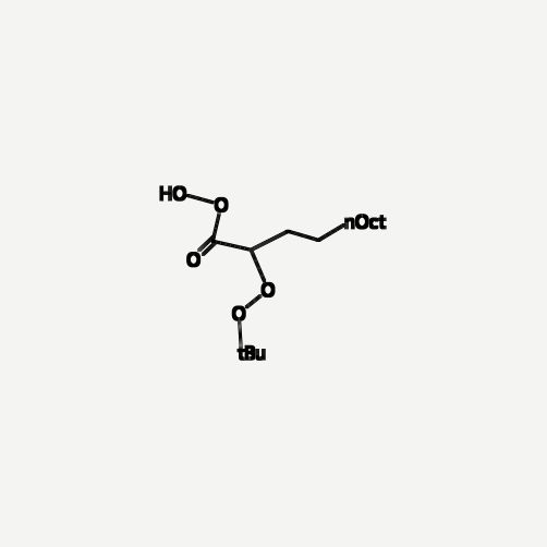 CCCCCCCCCCC(OOC(C)(C)C)C(=O)OO